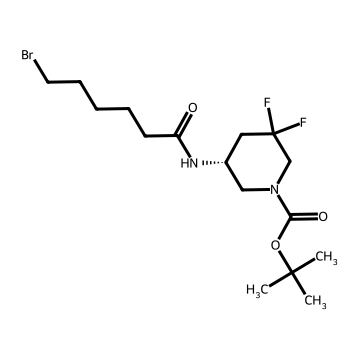 CC(C)(C)OC(=O)N1C[C@H](NC(=O)CCCCCBr)CC(F)(F)C1